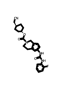 N#CC[C@H]1CC[C@H](OC(=O)N2CCc3cc(NC(=O)Nc4ccccc4F)ccc3C2)CC1